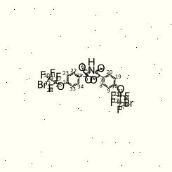 O=S(=O)(NS(=O)(=O)c1ccc(OC(F)(F)C(F)(F)Br)cc1)c1ccc(OC(F)(F)C(F)(F)Br)cc1